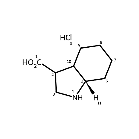 Cl.O=C(O)C1CN[C@H]2CCCCC12